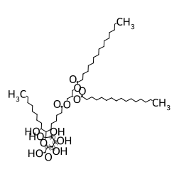 CCCCCCCCCCCCCCCC(=O)OCC(COC(=O)CCCCCC(C(O)CCCCCCCC)C1(O)O[C@H](C(=O)O)[C@@H](O)[C@H](O)[C@H]1O)OC(=O)CCCCCCCCCCCCCCC